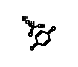 O=C1C=CC(=O)C=C1.O=[SH](=O)O.[H+]